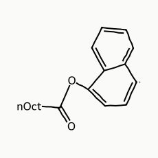 CCCCCCCCC(=O)Oc1cc[c]c2ccccc12